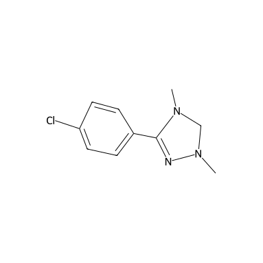 CN1CN(C)C(c2ccc(Cl)cc2)=N1